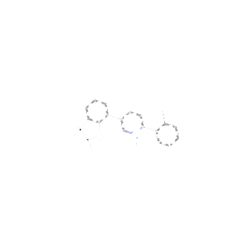 Cc1ccccc1-c1ccc(-c2cccc3c2OC(C)(C)C3(C)C)c[n+]1C